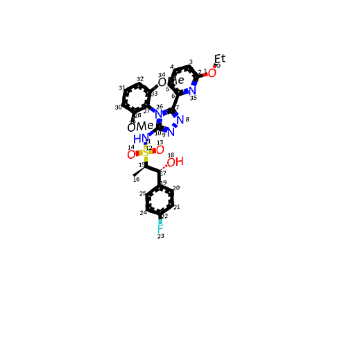 CCOc1cccc(-c2nnc(NS(=O)(=O)[C@H](C)[C@H](O)c3ccc(F)cc3)n2-c2c(OC)cccc2OC)n1